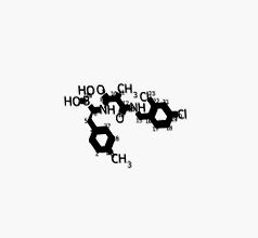 Cc1ccc(C[C@H](NC(=O)C(C)C(=O)NCc2ccc(Cl)cc2Cl)B(O)O)cc1